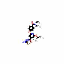 CC(C)Oc1cc(C(=O)NC(=N)S)cc(Oc2ccc(C(=O)N(C)C)cc2)n1